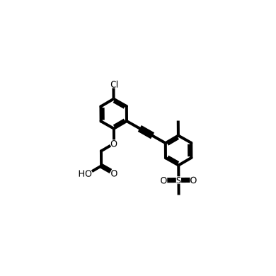 Cc1ccc(S(C)(=O)=O)cc1C#Cc1cc(Cl)ccc1OCC(=O)O